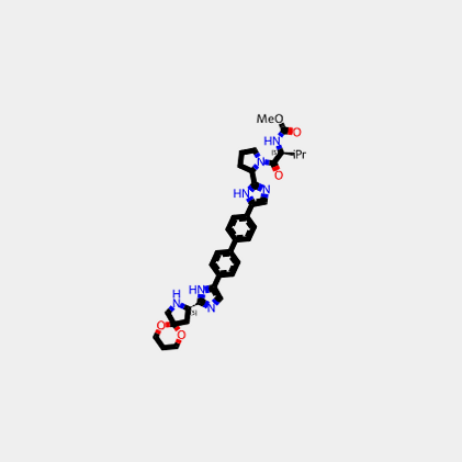 COC(=O)N[C@H](C(=O)N1CCCC1c1ncc(-c2ccc(-c3ccc(-c4cnc([C@@H]5CC6(CN5)OCCCO6)[nH]4)cc3)cc2)[nH]1)C(C)C